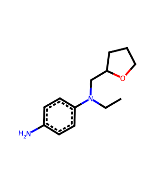 CCN(CC1CCCO1)c1ccc(N)cc1